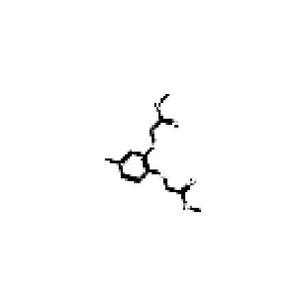 COC(=O)COc1ccc(C)cc1SCC(=O)OC